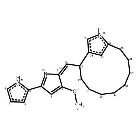 COC1=CC(c2ccc[nH]2)=N/C1=C/C1CCCCCCCCc2cc1c[nH]2